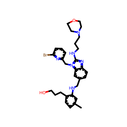 Cc1ccc(CCCO)c(NCc2ccc3nc(NCCCN4CCOCC4)n(Cc4cccc(Br)n4)c3c2)c1